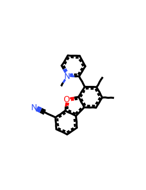 Cc1cc2c(oc3c(C#N)cccc32)c(-c2cccc[n+]2C)c1C